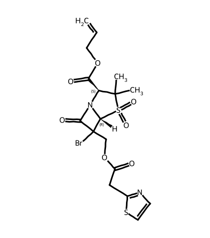 C=CCOC(=O)[C@@H]1N2C(=O)C(Br)(COC(=O)Cc3nccs3)[C@H]2S(=O)(=O)C1(C)C